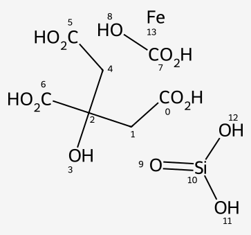 O=C(O)CC(O)(CC(=O)O)C(=O)O.O=C(O)O.O=[Si](O)O.[Fe]